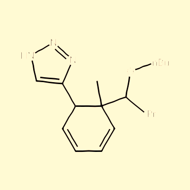 CCCCOC(C(C)C)C1(C)C=CC=CC1c1c[nH]nn1